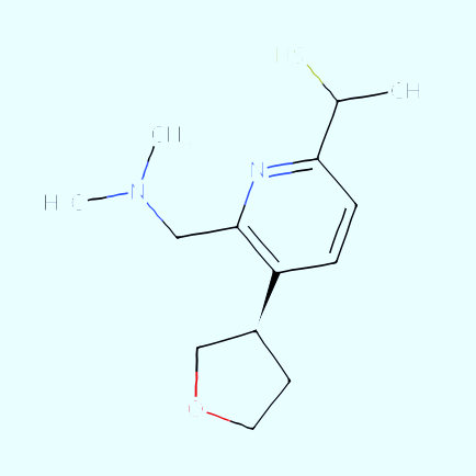 CC(S)c1ccc([C@H]2CCOC2)c(CN(C)C)n1